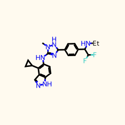 CCNC(c1ccc(C2N=C(Nc3ccc4[nH]ncc4c3C3CC3)N(C)N2)cc1)C(F)F